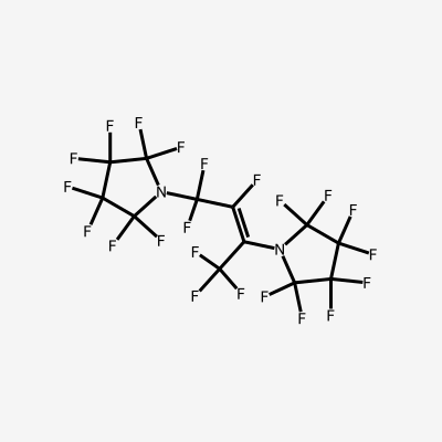 FC(=C(N1C(F)(F)C(F)(F)C(F)(F)C1(F)F)C(F)(F)F)C(F)(F)N1C(F)(F)C(F)(F)C(F)(F)C1(F)F